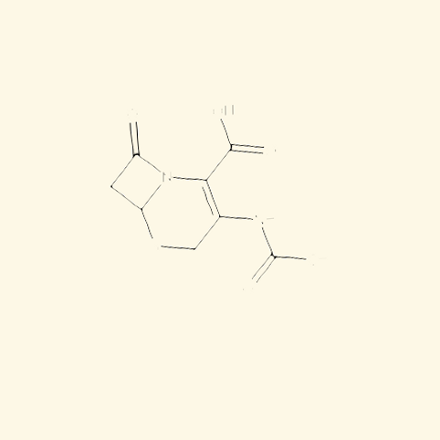 CC(=O)NC1=C(C(=O)O)N2C(=O)CC2SC1